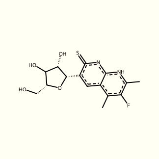 Cc1[nH]c2nc(=S)c([C@@H]3O[C@H](CO)C(O)[C@@H]3O)cc-2c(C)c1F